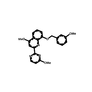 COc1cccc(COc2cccc3c(OC)cc(-c4nccc(OC)n4)nc23)c1